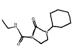 CCNC(=O)N1CCN(C2CCCCC2)C1=O